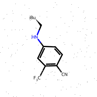 CC[C@H](C)CNc1ccc(C#N)c(C(F)(F)F)c1